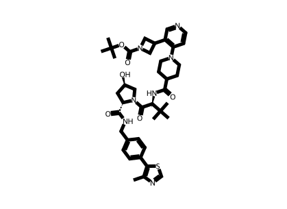 Cc1ncsc1-c1ccc(CNC(=O)[C@@H]2C[C@@H](O)CN2C(=O)[C@@H](NC(=O)C2CCN(c3ccncc3C3CN(C(=O)OC(C)(C)C)C3)CC2)C(C)(C)C)cc1